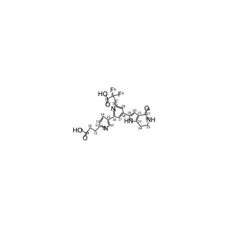 O=C(O)C(F)(F)F.O=C(O)CCc1ccc(-c2cc(-c3cc4c([nH]3)CCNC4=O)ccn2)cn1